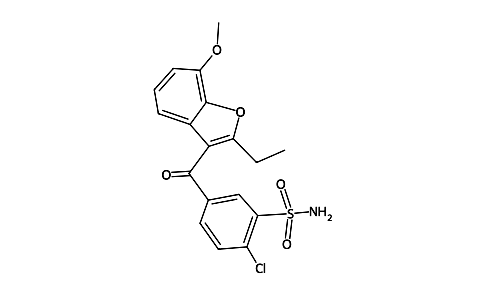 CCc1oc2c(OC)cccc2c1C(=O)c1ccc(Cl)c(S(N)(=O)=O)c1